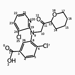 O=C(O)c1ccc(Cl)c(N(CC(=O)C2CCCCO2)c2ncccc2Cl)c1